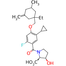 C=C1CC(C)CC(CC)(COc2cc(F)c(C(=O)N3CC[C@@H](O)[C@H]3C(=O)O)cc2C2CC2)C1